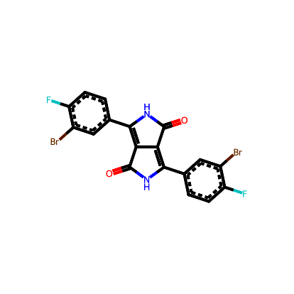 O=C1NC(c2ccc(F)c(Br)c2)=C2C(=O)NC(c3ccc(F)c(Br)c3)=C12